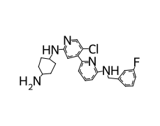 NC1CCC(Nc2cc(-c3cccc(NCc4cccc(F)c4)n3)c(Cl)cn2)CC1